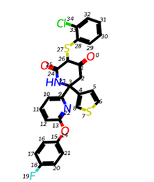 O=C1CC(c2ccsc2)(c2cccc(Oc3ccc(F)cc3)n2)NC(=O)C1Sc1ccccc1Cl